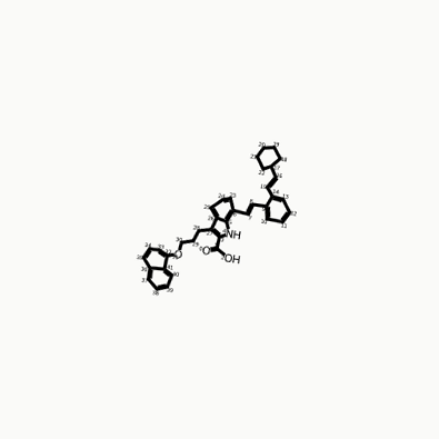 O=C(O)c1[nH]c2c(C=Cc3ccccc3/C=C/C3CCCCC3)cccc2c1CCCOc1cccc2ccccc12